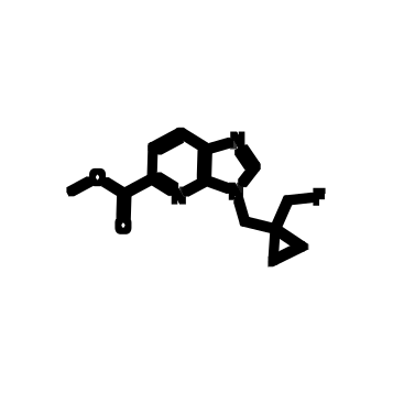 COC(=O)c1ccc2ncn(CC3(CF)CC3)c2n1